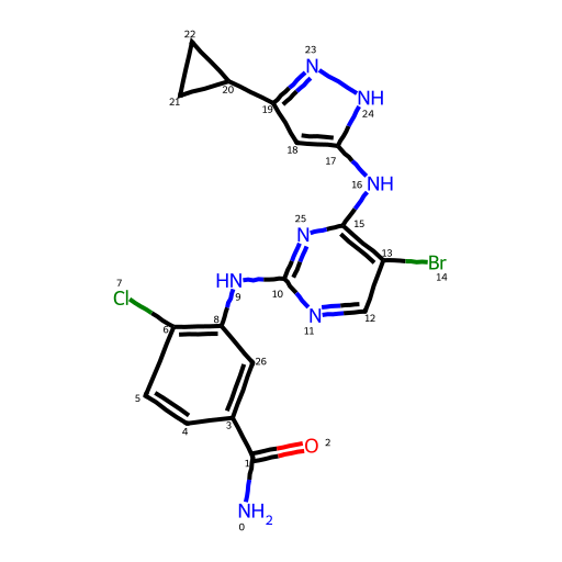 NC(=O)c1ccc(Cl)c(Nc2ncc(Br)c(Nc3cc(C4CC4)n[nH]3)n2)c1